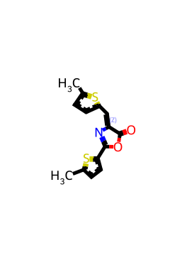 Cc1ccc(/C=C2\N=C(c3ccc(C)s3)OC2=O)s1